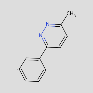 Cc1ccc(-c2c[c]ccc2)nn1